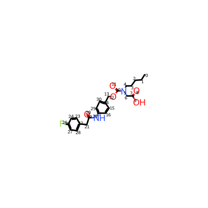 CCCCCN(CC(=O)O)C(=O)OCc1ccc(NC(=O)Cc2ccc(F)cc2)cc1